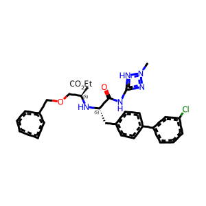 CCOC(=O)[C@H](COCc1ccccc1)N[C@@H](Cc1ccc(-c2cccc(Cl)c2)cc1)C(=O)Nc1nn(C)[nH]1